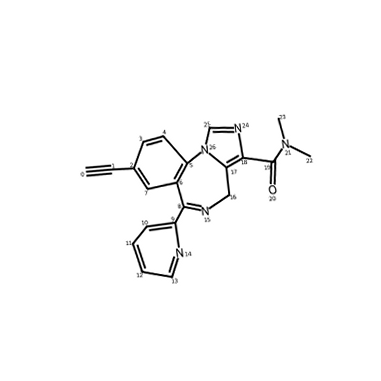 C#Cc1ccc2c(c1)C(c1ccccn1)=NCc1c(C(=O)N(C)C)ncn1-2